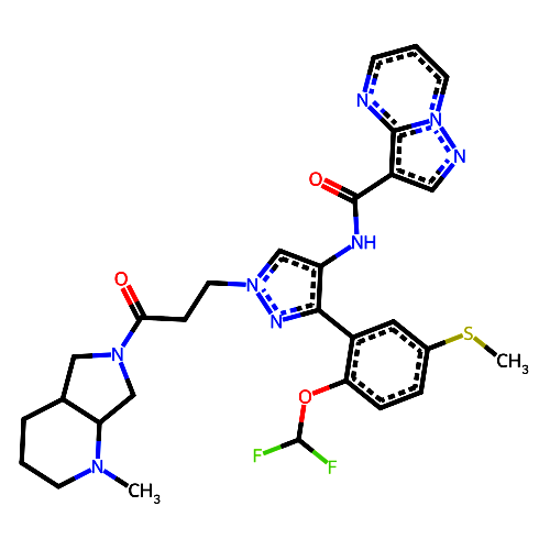 CSc1ccc(OC(F)F)c(-c2nn(CCC(=O)N3CC4CCCN(C)C4C3)cc2NC(=O)c2cnn3cccnc23)c1